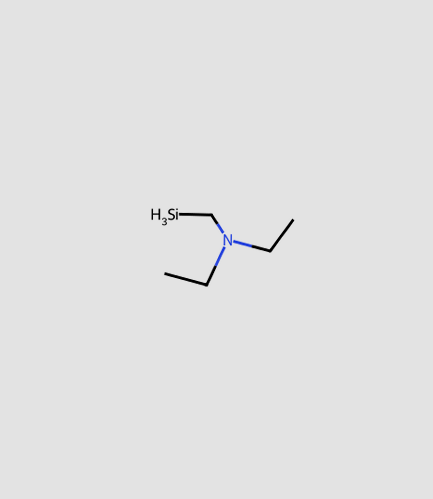 CCN(CC)C[SiH3]